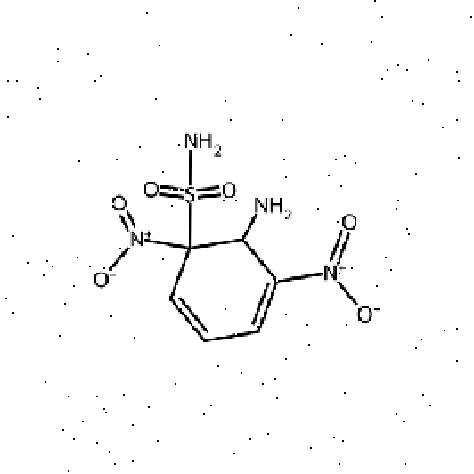 NC1C([N+](=O)[O-])=CC=CC1([N+](=O)[O-])S(N)(=O)=O